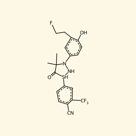 CC1(C)C(=O)[SH](c2ccc(C#N)c(C(F)(F)F)c2)NN1c1ccc(O)c(CCF)c1